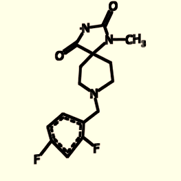 CN1C(=O)[N]C(=O)C12CCN(Cc1ccc(F)cc1F)CC2